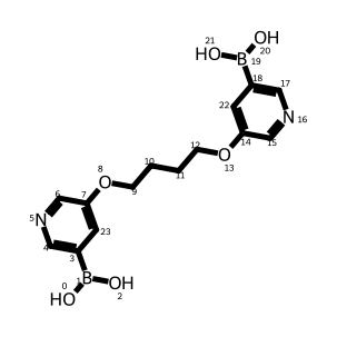 OB(O)c1cncc(OCCCCOc2cncc(B(O)O)c2)c1